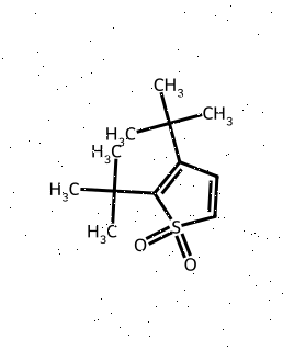 CC(C)(C)C1=C(C(C)(C)C)S(=O)(=O)C=C1